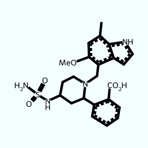 COc1cc(C)c2[nH]ccc2c1CN1CCC(NS(N)(=O)=O)CC1c1ccccc1C(=O)O